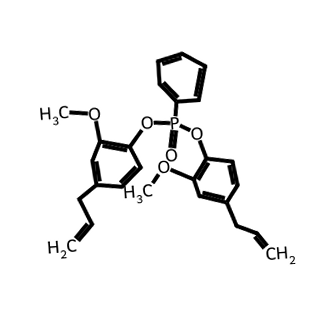 C=CCc1ccc(OP(=O)(Oc2ccc(CC=C)cc2OC)c2ccccc2)c(OC)c1